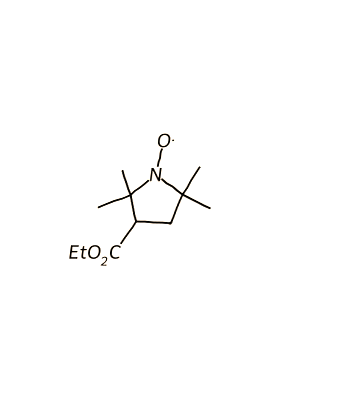 CCOC(=O)C1CC(C)(C)N([O])C1(C)C